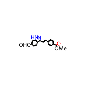 COC(=O)c1ccc(C=Cc2n[nH]c3cc(C=O)ccc23)cc1